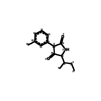 CSC(C)C1NC(=O)N(c2cccc(C)c2)C1=O